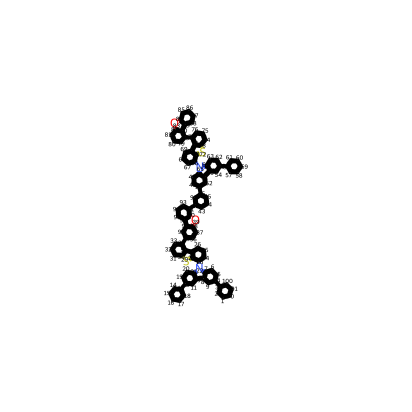 c1ccc(-c2ccc3c(c2)c2cc(-c4ccccc4)ccc2n3-c2cccc3c2sc2cccc(-c4ccc5oc6c(-c7cccc(-c8ccc9c(c8)c8cc(-c%10ccccc%10)ccc8n9-c8cccc9c8sc8cccc(-c%10cccc%11oc%12ccccc%12c%10%11)c89)c7)cccc6c5c4)c23)cc1